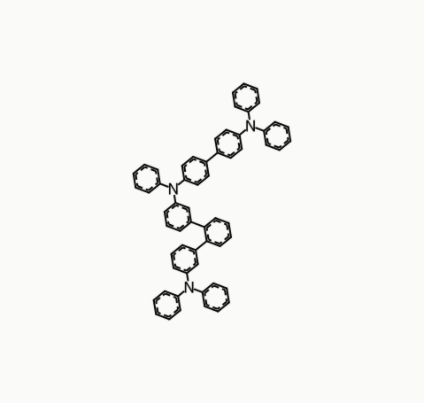 c1ccc(N(c2ccccc2)c2ccc(-c3ccc(N(c4ccccc4)c4cccc(-c5ccccc5-c5cccc(N(c6ccccc6)c6ccccc6)c5)c4)cc3)cc2)cc1